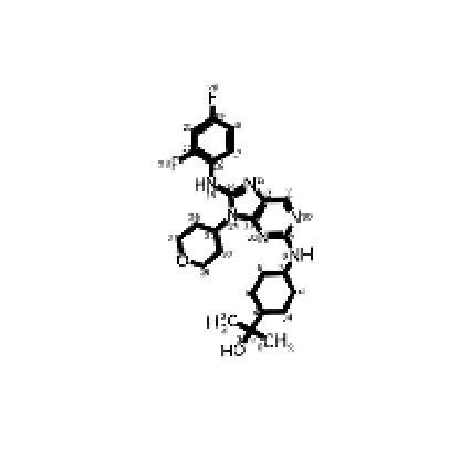 CC(C)(O)C1CCC(Nc2ncc3nc(Nc4ccc(F)cc4F)n(C4CCOCC4)c3n2)CC1